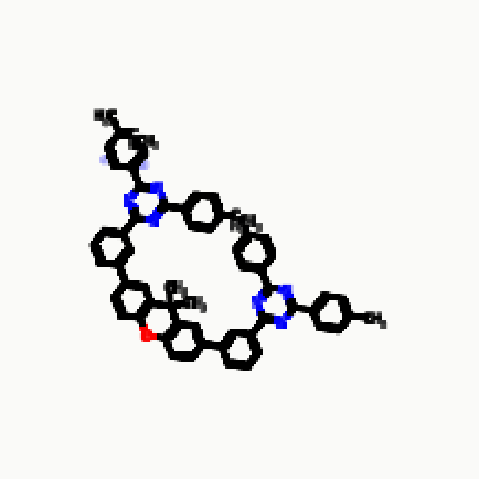 C=C(C)/C=C\C(=C/C)c1nc(-c2ccc(C)cc2)nc(-c2cccc(-c3ccc4c(c3)C(C)(C)c3cc(-c5cccc(-c6nc(-c7ccc(C)cc7)nc(-c7ccc(C)cc7)n6)c5)ccc3O4)c2)n1